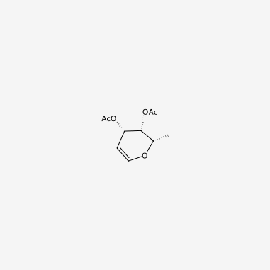 CC(=O)O[C@@H]1[C@H](C)OC=C[C@@H]1OC(C)=O